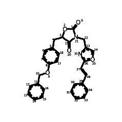 O=C1OC(Cc2ccc(OCc3ccccc3)cc2)C(=O)N1Cc1coc(/C=C/c2ccccc2)n1